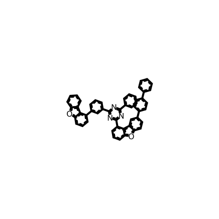 c1ccc(-c2ccc(-c3ccc4oc5cccc(-c6nc(-c7ccccc7)nc(-c7cccc(-c8cccc9oc%10ccccc%10c89)c7)n6)c5c4c3)cc2)cc1